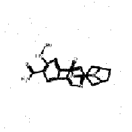 CC[C@H](C)Nc1cc(C(=O)NC2CC3CCC(C2)N3c2ccc(C(C)=O)cn2)ccc1C(N)=O